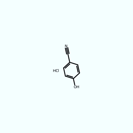 Cl.N#Cc1ccc(O)cc1